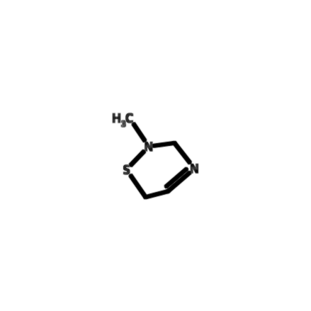 CN1CN=CCS1